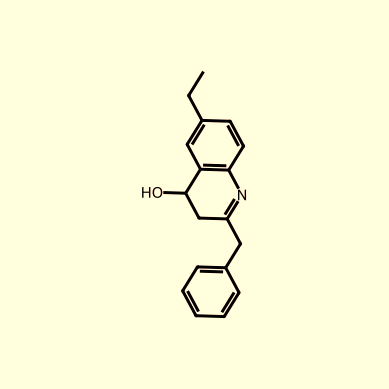 CCc1ccc2c(c1)C(O)CC(Cc1ccccc1)=N2